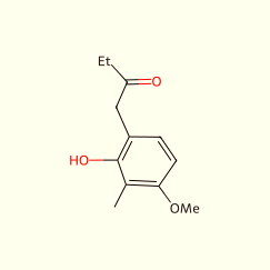 CCC(=O)Cc1ccc(OC)c(C)c1O